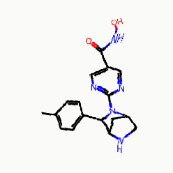 Cc1ccc(C2C3CC(CN3)N2c2ncc(C(=O)NO)cn2)cc1